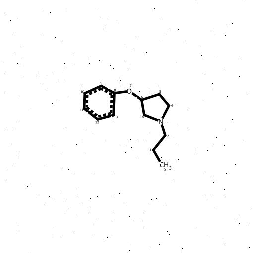 CCCN1CCC(Oc2ccccc2)C1